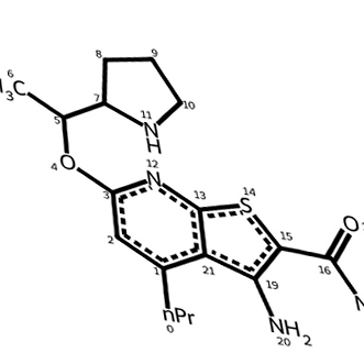 CCCc1cc(OC(C)C2CCCN2)nc2sc(C(N)=O)c(N)c12